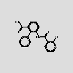 NC(=O)c1cccc(NC(=O)c2cccnc2Cl)c1-c1ccccc1